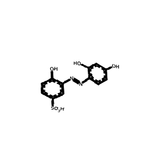 O=S(=O)(O)c1ccc(O)c(/N=N/c2ccc(O)cc2O)c1